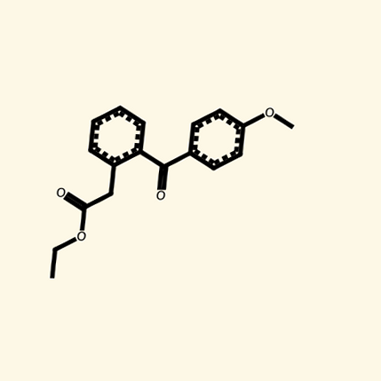 CCOC(=O)Cc1ccccc1C(=O)c1ccc(OC)cc1